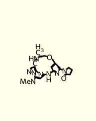 CNc1cc2nc3c(cnn13)CN[C@H](C)COCc1cc(nc(N3CCCC3=O)c1)N2